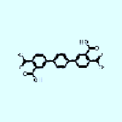 [O]C(=O)c1ccc(-c2ccc(-c3ccc(C([O])=O)c(C(=O)O)c3)cc2)cc1C(=O)O